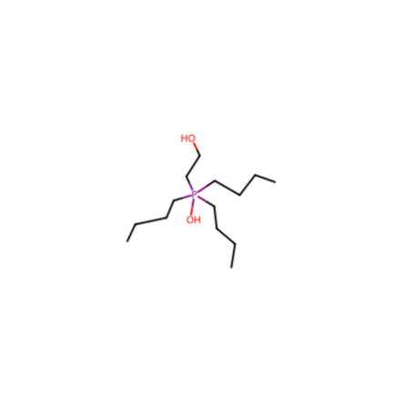 CCCCP(O)(CCO)(CCCC)CCCC